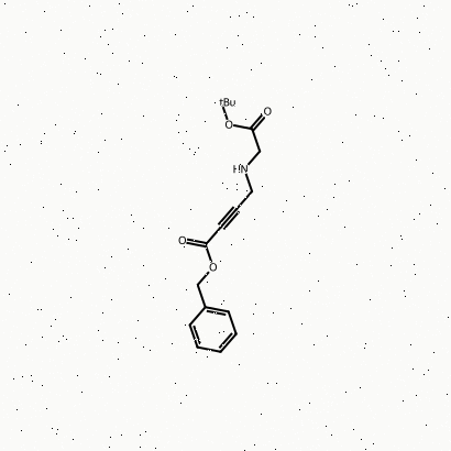 CC(C)(C)OC(=O)CNCC#CC(=O)OCc1ccccc1